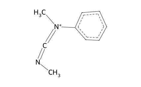 CN=C=[N+](C)c1ccccc1